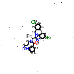 CC(C)[C@H](c1nc2cc(Br)ccc2n1Cc1cccc(Cl)c1)N(CCCN)C(=O)c1ccccc1